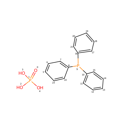 O=P(O)(O)O.c1ccc(P(c2ccccc2)c2ccccc2)cc1